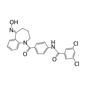 O=C(Nc1ccc(C(=O)N2CCCC(=NO)c3ccccc32)cc1)c1cc(Cl)cc(Cl)c1